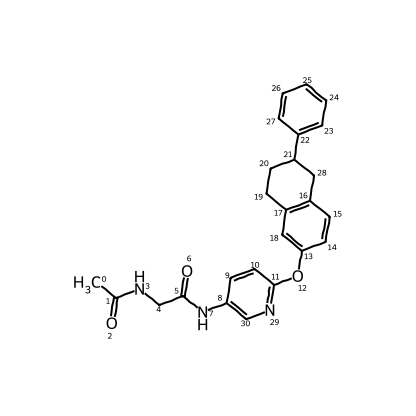 CC(=O)NCC(=O)Nc1ccc(Oc2ccc3c(c2)CCC(c2ccccc2)C3)nc1